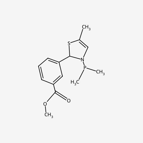 COC(=O)c1cccc(C2SC(C)=CN2P(C)C)c1